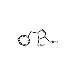 CCCCCCCN1C=CN(Cc2ccccc2)C1CCCCCC